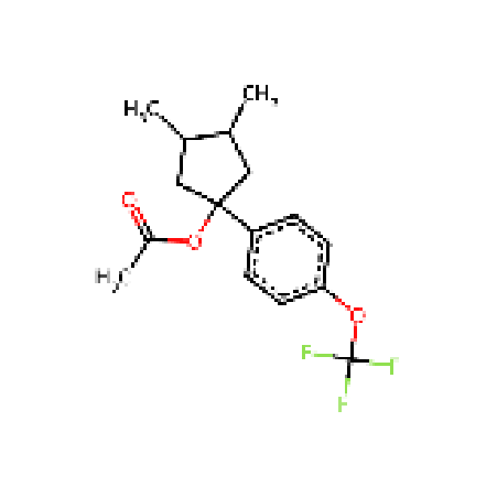 CC(=O)OC1(c2ccc(OC(F)(F)F)cc2)CC(C)C(C)C1